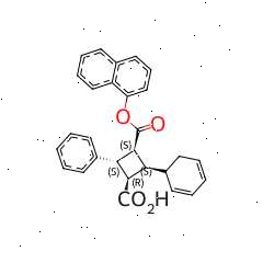 O=C(Oc1cccc2ccccc12)[C@@H]1[C@@H](c2ccccc2)[C@H](C(=O)O)[C@@H]1C1C=CC=CC1